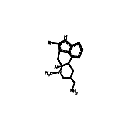 CN1C[C@H](CN)CC2c3cccc4[nH]c(Br)c(c34)C[C@H]21